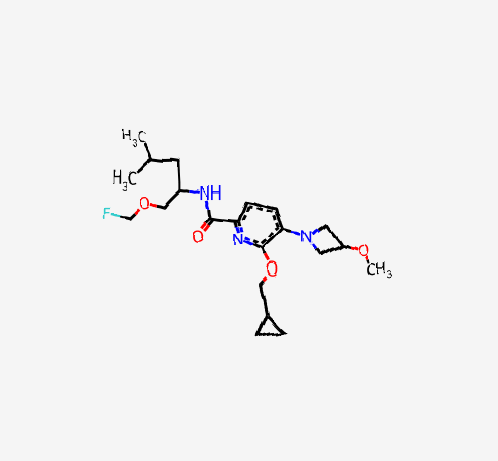 COC1CN(c2ccc(C(=O)NC(COCF)CC(C)C)nc2OCC2CC2)C1